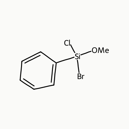 CO[Si](Cl)(Br)c1ccccc1